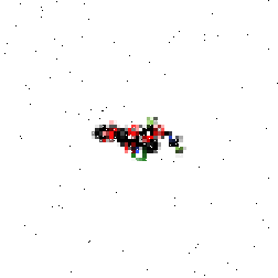 O=C(c1ccc(OCCN2CC(CF)C2)c(F)c1)c1c(-c2ccccc2Cl)noc1-c1ccc(OC2CCCCO2)cc1